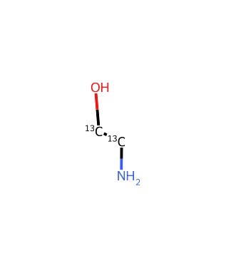 N[13CH2][13CH2]O